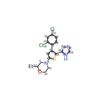 CCC1CN(c2cc(-c3ccc(Cl)cc3Cl)c(-c3nnc[nH]3)s2)CCO1